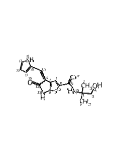 CC(C)(CO)NC(=O)c1cc2c(s1)NC(=O)/C2=C\c1ccc[nH]1